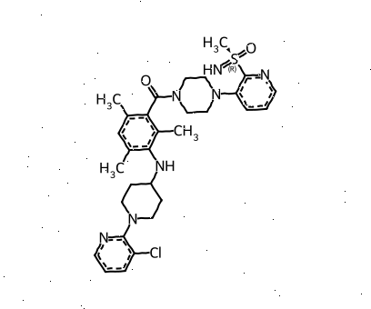 Cc1cc(C)c(C(=O)N2CCN(c3cccnc3[S@](C)(=N)=O)CC2)c(C)c1NC1CCN(c2ncccc2Cl)CC1